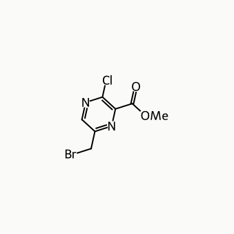 COC(=O)c1nc(CBr)cnc1Cl